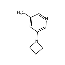 Cc1cncc(N2CCC2)c1